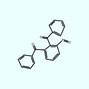 O=Pc1cccc(C(=O)c2ccccc2)c1C(=O)c1ccccc1